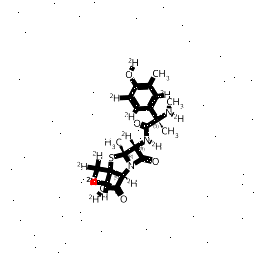 [2H]OC(=O)[C@]1([2H])N2C(=O)[C@@]([2H])(N([2H])C(=O)[C@@](C)(c3c([2H])c([2H])c(O[2H])c(C)c3[2H])N([2H])C)[C@@]2(C)SC1(C([2H])([2H])[2H])C([2H])([2H])[2H]